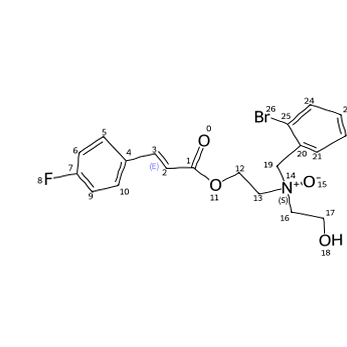 O=C(/C=C/c1ccc(F)cc1)OCC[N@@+]([O-])(CCO)Cc1ccccc1Br